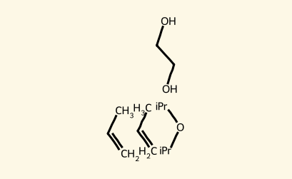 C=CC.C=CC.CC(C)OC(C)C.OCCO